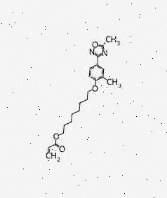 C=CC(=O)OCCCCCCCCOc1ccc(-c2noc(C)n2)cc1C